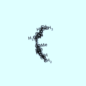 C=CCOC(=C)Nc1ccc2c(c1)CN1C(=O)c3cc(C)c(OCCCCCOc4cc5c(cc4OC)C(=O)N4Cc6cc(NC(=O)OCC=C)ccc6C[C@H]4C=N5)cc3N=C[C@@H]1C2